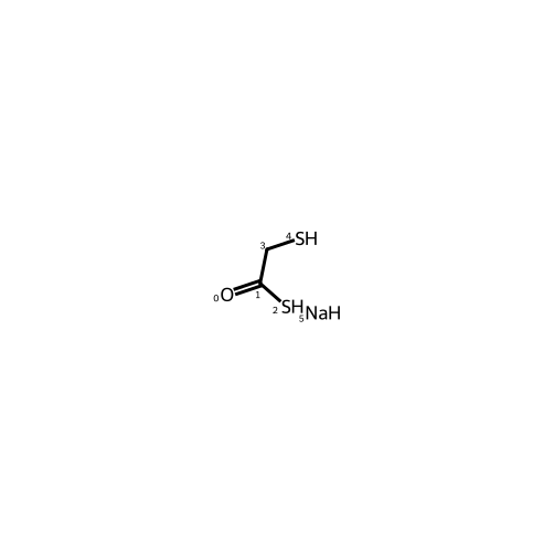 O=C(S)CS.[NaH]